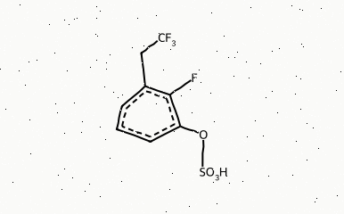 O=S(=O)(O)Oc1cccc(CC(F)(F)F)c1F